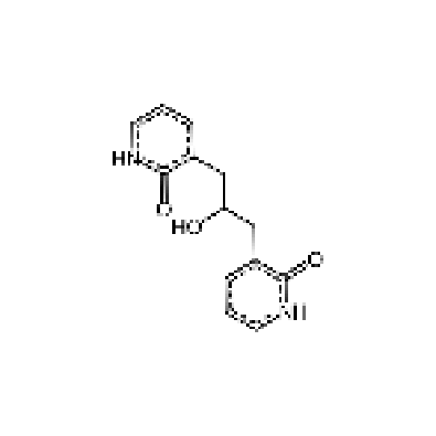 O=c1[nH]cccc1CC(O)Cc1ccc[nH]c1=O